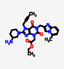 CC#CCn1c(N2CCCC(N)C2)nc2c1c(=O)n(Cc1cn3c(C)cccc3n1)c(=O)n2CC(=O)OCC